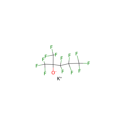 [K+].[O-]C(C(F)(F)F)(C(F)(F)F)C(F)(F)C(F)(F)C(F)(F)F